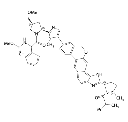 C=C(NC(C(=O)N1C[C@@H](COC)C[C@H]1c1ncc(-c2ccc3c(c2)COc2cc4c(ccc5nc([C@@H]6CC[C@H](C)N6C(=O)C(C)C(C)C)[nH]c54)cc2-3)n1C)c1ccccc1)OC